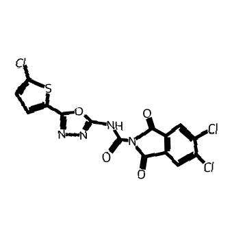 O=C(Nc1nnc(-c2ccc(Cl)s2)o1)N1C(=O)c2cc(Cl)c(Cl)cc2C1=O